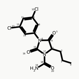 CCCC1C(=O)N(c2cc(Cl)cc(Cl)c2)C(=O)N1C(N)=O